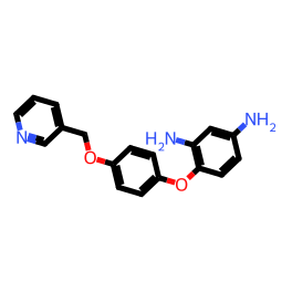 Nc1ccc(Oc2ccc(OCc3cccnc3)cc2)c(N)c1